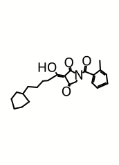 Cc1ccccc1C(=O)N1CC(=O)/C(=C(/O)CCCCC2CCCCC2)C1=O